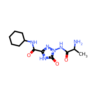 CC(N)C(=O)Nn1nc(C(=O)NC2CCCCC2)[nH]c1=O